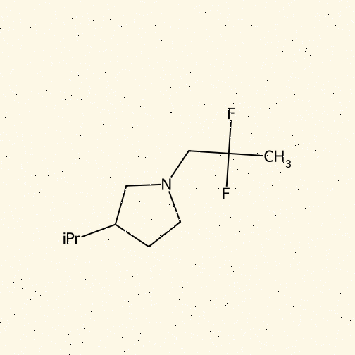 CC(C)C1CCN(CC(C)(F)F)C1